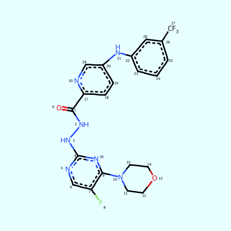 O=C(NNc1ncc(F)c(N2CCOCC2)n1)c1ccc(Nc2cccc(C(F)(F)F)c2)cn1